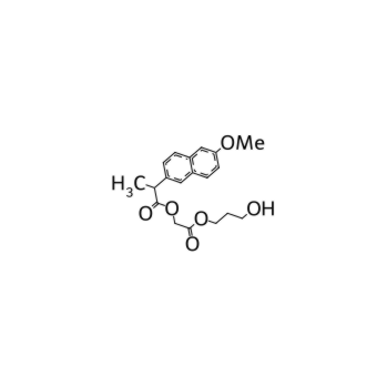 COc1ccc2cc(C(C)C(=O)OCC(=O)OCCCO)ccc2c1